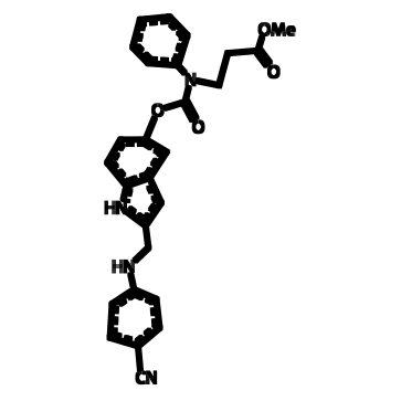 COC(=O)CCN(C(=O)Oc1ccc2[nH]c(CNc3ccc(C#N)cc3)cc2c1)c1ccccc1